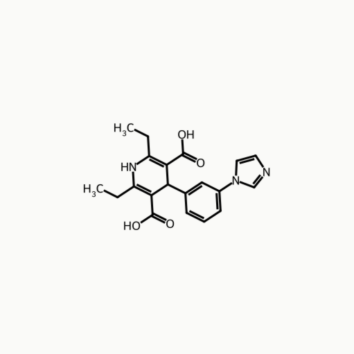 CCC1=C(C(=O)O)C(c2cccc(-n3ccnc3)c2)C(C(=O)O)=C(CC)N1